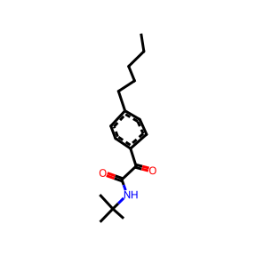 CCCCCc1ccc(C(=O)C(=O)NC(C)(C)C)cc1